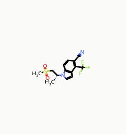 C[C@H](CS(C)(=O)=O)n1ccc2c(C(F)(F)F)c(C#N)ccc21